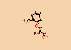 Cc1ccccc1OCC(Br)CO